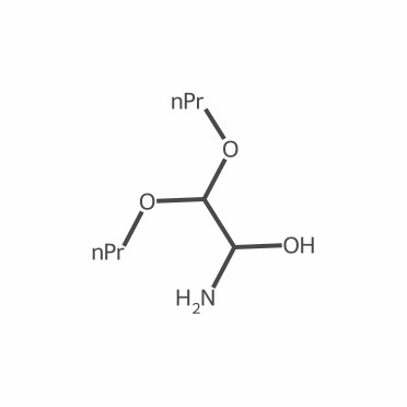 CCCOC(OCCC)C(N)O